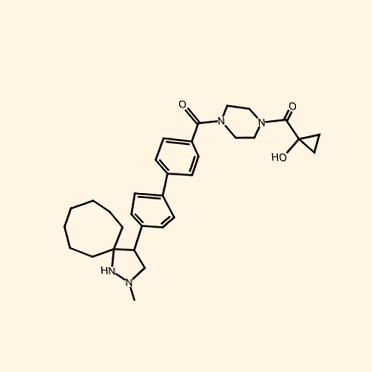 CN1CC(c2ccc(-c3ccc(C(=O)N4CCN(C(=O)C5(O)CC5)CC4)cc3)cc2)C2(CCCCCCC2)N1